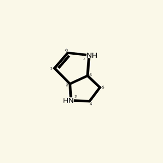 C1=CC2NCCC2N1